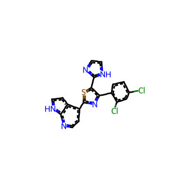 Clc1ccc(-c2nc(-c3ccnc4[nH]ccc34)sc2-c2ncc[nH]2)c(Cl)c1